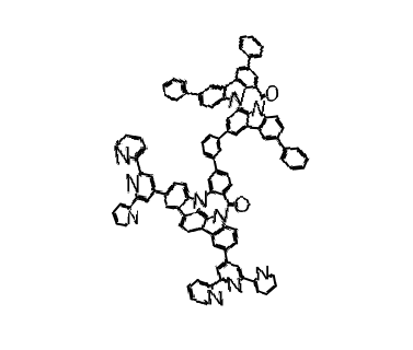 O=c1c2cc(-c3ccccc3)cc3c4cc(-c5ccccc5)ccc4n(c4cc(-c5cccc(-c6ccc7c(=O)n8c9ccc(-c%10cc(-c%11ccccn%11)nc(-c%11ccccn%11)c%10)cc9c9ccc%10c%11cc(-c%12cc(-c%13ccccn%13)nc(-c%13ccccn%13)c%12)ccc%11n(c7c6)c%10c98)c5)cc5c6cc(-c7ccccc7)ccc6n1c54)c23